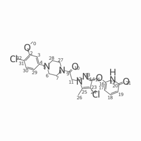 COc1cc(N2CCN(C(=O)Cn3nc(Oc4cccc(=O)[nH]4)c(Cl)c3C)CC2)ccc1Cl